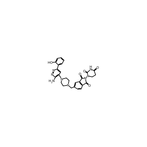 Nc1nnc(-c2ccccc2O)cc1N1CCN(Cc2ccc3c(c2)C(=O)N(N2CCC(=O)NC2=O)C3=O)CC1